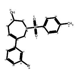 Cc1ccc(S(=O)(=O)N2CC(c3cccc(Br)c3)=CCC(O)C2)cc1